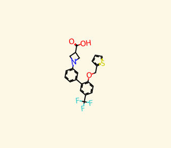 O=C(O)C1CN(c2cccc(-c3cc(C(F)(F)F)ccc3OCc3cccs3)c2)C1